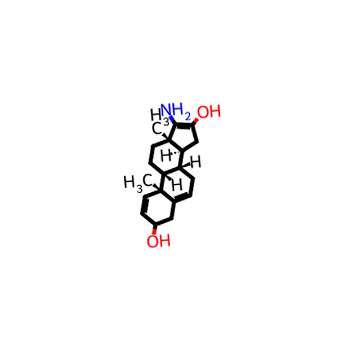 C[C@]12C=CC(O)CC1=CC[C@@H]1[C@H]2CC[C@]2(C)C(N)=C(O)C[C@@H]12